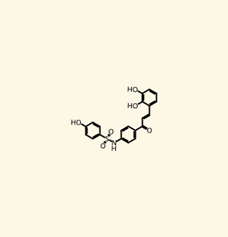 O=C(/C=C/c1cccc(O)c1O)c1ccc(NS(=O)(=O)c2ccc(O)cc2)cc1